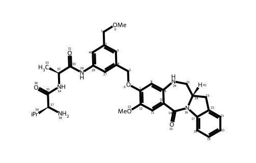 COCc1cc(COc2cc3c(cc2OC)C(=O)N2c4ccccc4C[C@H]2CN3)cc(NC(=O)[C@H](C)NC(=O)[C@@H](N)C(C)C)c1